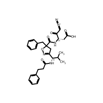 CC(C)[C@H](NC(=O)CCc1ccccc1)C1=NOC(Cc2ccccc2)(C(=O)N[C@@H](CC(=O)O)C(=O)C=[N+]=[N-])C1